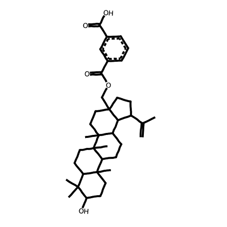 C=C(C)C1CCC2(COC(=O)c3cccc(C(=O)O)c3)CCC3(C)C(CCC4C5(C)CCC(O)C(C)(C)C5CCC43C)C12